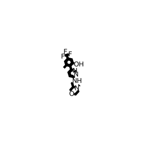 Cc1cc(C(F)(F)F)cc(O)c1-c1ccc(NCC2COCCN2C)nn1